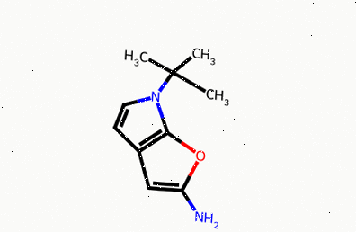 CC(C)(C)n1ccc2cc(N)oc21